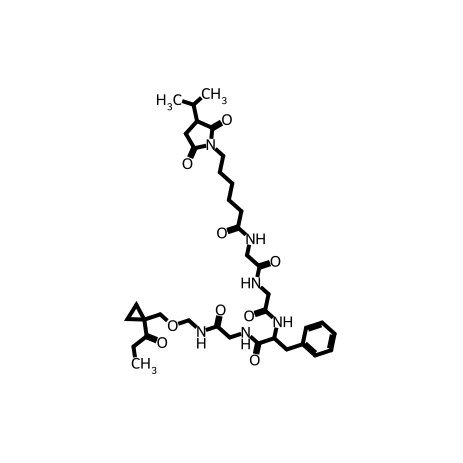 CCC(=O)C1(COCNC(=O)CNC(=O)C(Cc2ccccc2)NC(=O)CNC(=O)CNC(=O)CCCCCN2C(=O)CC(C(C)C)C2=O)CC1